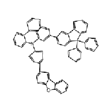 c1ccc(-c2ccccc2N(c2ccc(-c3ccc4oc5ccccc5c4c3)cc2)c2cccc(-c3ccc4c(c3)-c3ccccc3C4(c3ccccc3)c3ccccc3)c2)cc1